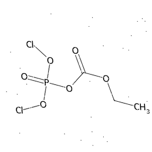 CCOC(=O)OP(=O)(OCl)OCl